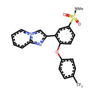 CNS(=O)(=O)c1ccc(Oc2ccc(C(F)(F)F)cc2)c(-c2cn3ccccc3n2)c1